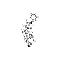 CC([C@H]1CC[C@H]2[C@@H]3CC[C@@H]4C[C@](C)(O)CC[C@@H]4[C@H]3CC[C@]12C)N(C)c1ccccc1